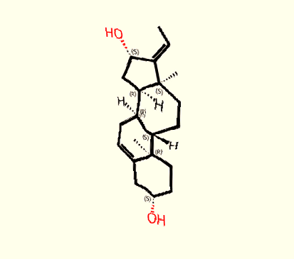 CC=C1[C@@H](O)C[C@@H]2[C@@H]3CC=C4C[C@@H](O)CC[C@]4(C)[C@H]3CC[C@]12C